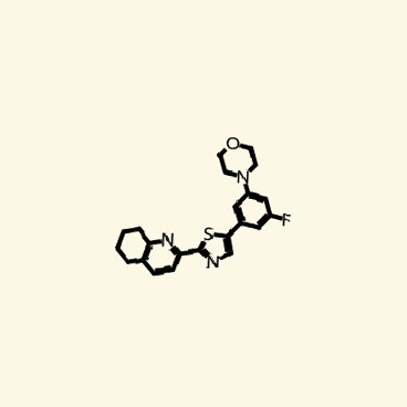 Fc1cc(-c2cnc(-c3ccc4c(n3)CCCC4)s2)cc(N2CCOCC2)c1